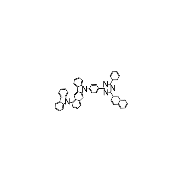 c1ccc(-c2nc(-c3ccc(-n4c5ccccc5c5cc6c(-n7c8ccccc8c8ccccc87)cccc6cc54)cc3)nc(-c3ccc4ccccc4c3)n2)cc1